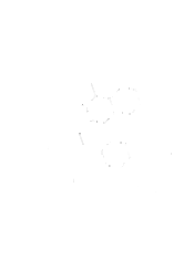 COC(=O)c1c(-c2cc(OC)c(OC)c(OC)c2)c2ccccc2c(=O)n1C1CCC(O)CC1